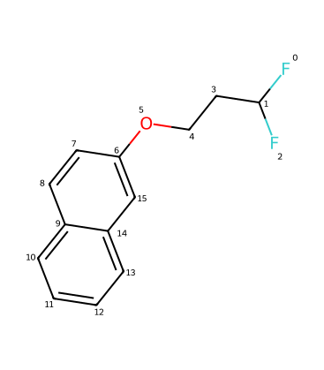 FC(F)CCOc1ccc2ccccc2c1